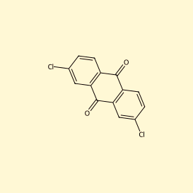 O=C1c2ccc(Cl)cc2C(=O)c2cc(Cl)ccc21